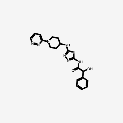 O=C(Nc1nnc(NC2CCN(c3cccnn3)CC2)s1)C(O)c1ccccc1